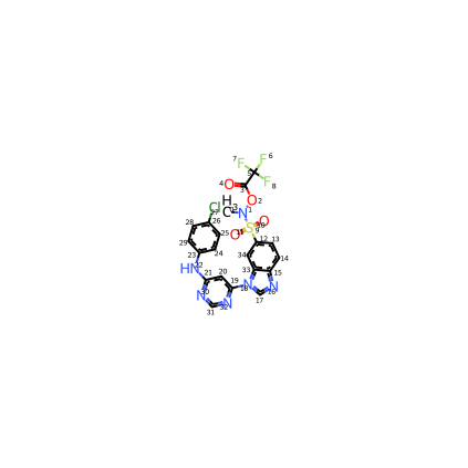 CN(OC(=O)C(F)(F)F)S(=O)(=O)c1ccc2ncn(-c3cc(Nc4ccc(Cl)cc4)ncn3)c2c1